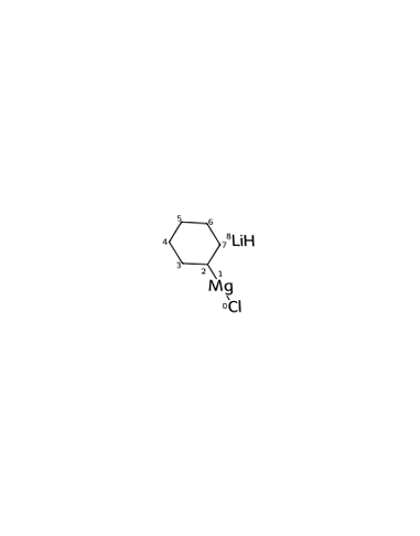 [Cl][Mg][CH]1CCCCC1.[LiH]